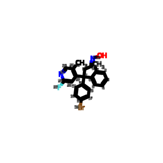 Cc1ccccc1C(CC=NO)(c1ccc(Br)cc1)c1cc(F)ncc1C